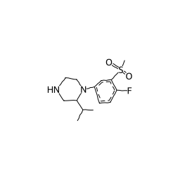 CC(C)C1CNCCN1c1ccc(F)c(S(C)(=O)=O)c1